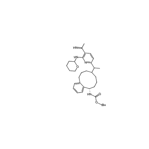 CC(=N)c1ccc(C(C)C2CCCc3ccccc3[C@@H](NC(=O)OC(C)(C)C)CCC2)nc1NC1CCCCO1